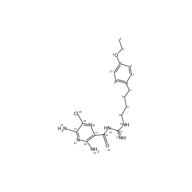 CCOc1ccc(CCCCNC(=N)NC(=O)c2nc(Cl)c(N)nc2N)cc1